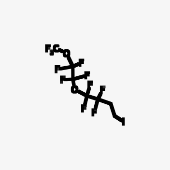 FC(F)(F)OC(F)(F)C(F)(F)OC(F)(F)C(F)(F)CCI